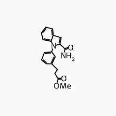 COC(=O)CCc1cccc(-n2c(C(N)=O)cc3ccccc32)c1